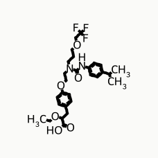 CCOC(Cc1ccc(OCCN(CCCOCC(F)(F)F)C(=O)Nc2ccc(C(C)C)cc2)cc1)C(=O)O